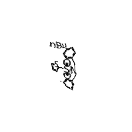 CCCCc1ccc(CN(Cc2c[c]ccc2)S(=O)(=O)c2cccs2)cc1